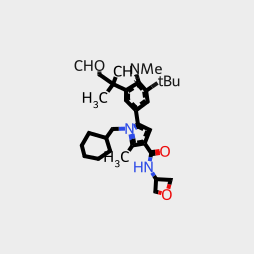 CNc1c(C(C)(C)C)cc(-c2cc(C(=O)NC3COC3)c(C)n2CC2CCCCC2)cc1C(C)(C)CC=O